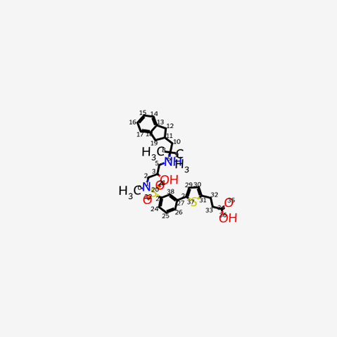 CN(CC(O)CNC(C)(C)CC1Cc2ccccc2C1)S(=O)(=O)c1cccc(-c2ccc(CCC(=O)O)s2)c1